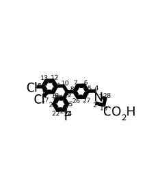 O=C(O)C1CN(Cc2ccc(C(Cc3ccc(Cl)c(Cl)c3)c3cccc(F)c3)cc2)C1